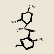 COc1ccc(Cl)cc1C(=O)N(N)C1CCN(C(=O)O)CC1OC